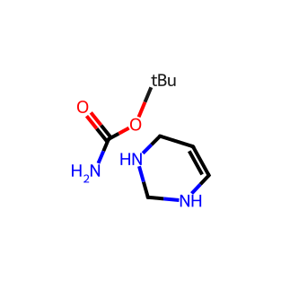 C1=CNCNC1.CC(C)(C)OC(N)=O